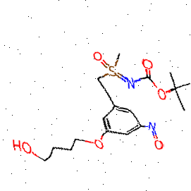 CC(C)(C)OC(=O)N=S(C)(=O)Cc1cc(N=O)cc(OCCCCO)c1